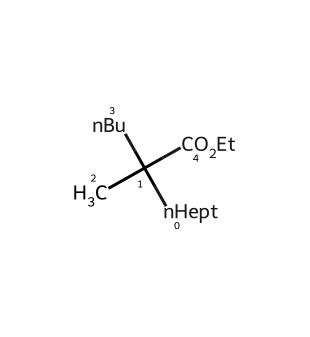 CCCCCCCC(C)(CCCC)C(=O)OCC